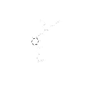 CNCCONc1cccc(OCC(OCCOCC(C)C)SSC(C)(C)C)c1